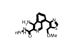 CCCNC(=O)c1ncc2c(-c3ncsc3COC)cccc2c1N